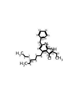 CCC[C@@H](CC)CCCc1cc(Cc2ccccc2)nc2[nH]c(CC)c(Cl)c12